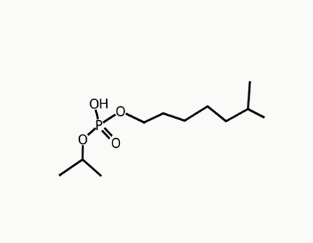 CC(C)CCCCCOP(=O)(O)OC(C)C